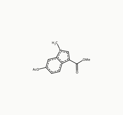 COC(=O)c1cn(C)c2cc(OC(C)=O)ccc12